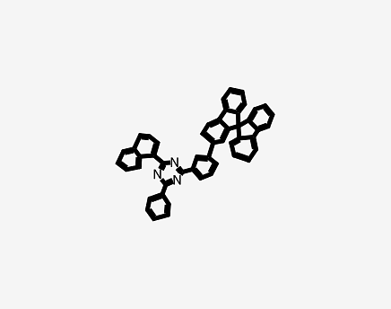 c1ccc(-c2nc(-c3cccc(-c4ccc5c(c4)C4(c6ccccc6-c6ccccc64)c4ccccc4-5)c3)nc(-c3cccc4ccccc34)n2)cc1